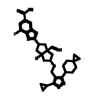 N=C[C@@]12C[C@@H](OCc3c(C4CCC5(CC4)CC5)noc3C3CC3)C[C@@H]1CN(c1nc3c(F)cc(C(=O)O)cc3s1)C2